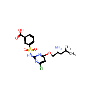 CC(C)C[C@@H](N)COc1cc(Cl)nc(NS(=O)(=O)c2cccc(C(=O)O)c2)n1